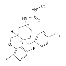 CCNC(=O)N[C@@H]1CC[C@@]2(Cc3ccc(C(F)(F)F)cc3)c3c(F)ccc(F)c3OC[C@H]2C1